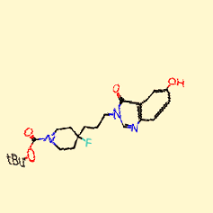 CC(C)(C)OC(=O)N1CCC(F)(CCCn2cnc3ccc(O)cc3c2=O)CC1